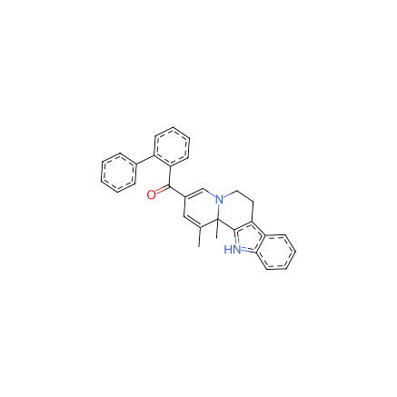 CC1=CC(C(=O)c2ccccc2-c2ccccc2)=CN2CCc3c([nH]c4ccccc34)C12C